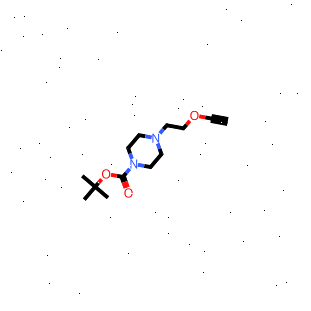 C#COCCN1CCN(C(=O)OC(C)(C)C)CC1